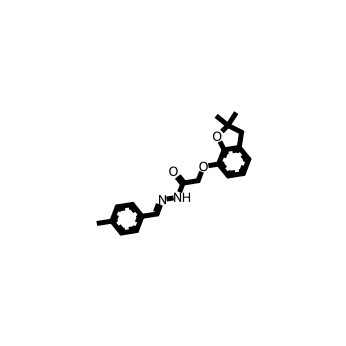 Cc1ccc(C=NNC(=O)COc2cccc3c2OC(C)(C)C3)cc1